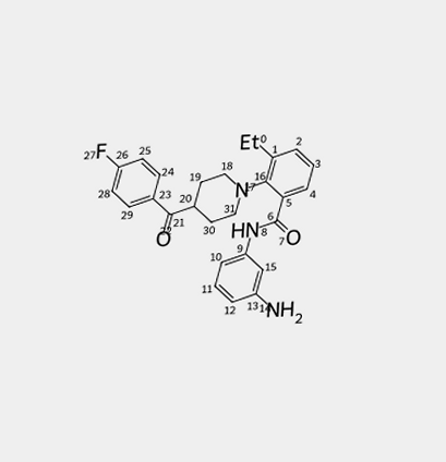 CCc1cccc(C(=O)Nc2cccc(N)c2)c1N1CCC(C(=O)c2ccc(F)cc2)CC1